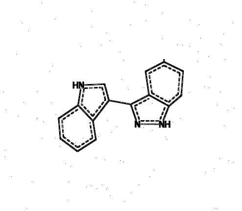 [c]1ccc2[nH]nc(-c3c[nH]c4ccccc34)c2c1